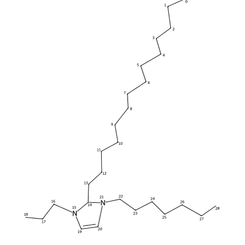 CCCCCCCCCCCCCCC1N(CCC)C=CN1CCCCCCC